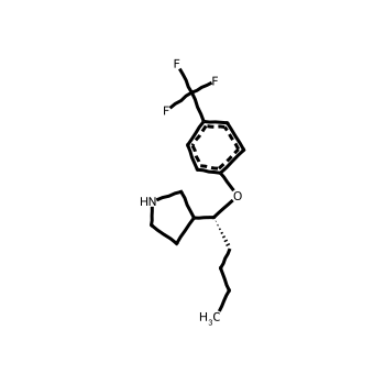 CCCC[C@@H](Oc1ccc(C(F)(F)F)cc1)C1CCNC1